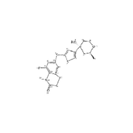 C[C@H]1C[C@@](O)(c2csc(Sc3cc(F)c4c(c3)CCC(=O)N4C)c2)CCO1